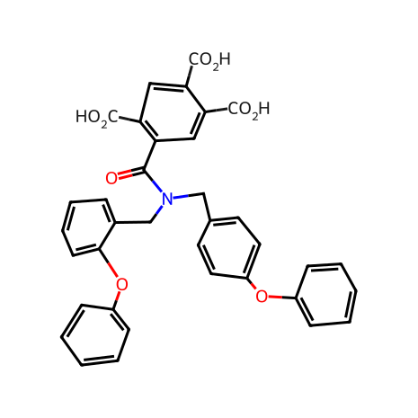 O=C(O)c1cc(C(=O)O)c(C(=O)N(Cc2ccc(Oc3ccccc3)cc2)Cc2ccccc2Oc2ccccc2)cc1C(=O)O